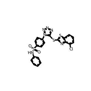 O=S(=O)(Nc1ccccc1)c1ccc(-n2nnnc2Sc2nc3c(Cl)cccc3s2)cc1